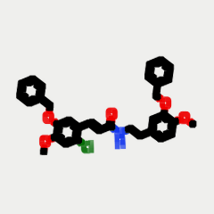 COc1ccc(CCNC(=O)C=Cc2cc(OCc3ccccc3)c(OC)cc2Cl)cc1OCc1ccccc1